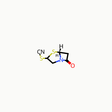 N#CSC1CN2C(=O)C[C@H]2S1